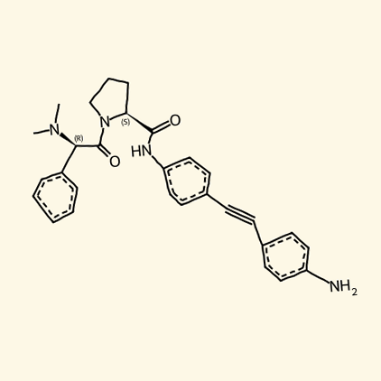 CN(C)[C@@H](C(=O)N1CCC[C@H]1C(=O)Nc1ccc(C#Cc2ccc(N)cc2)cc1)c1ccccc1